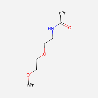 CCCOCCOCCNC(=O)CCC